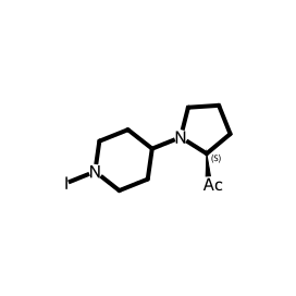 CC(=O)[C@@H]1CCCN1C1CCN(I)CC1